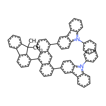 CC1(C)c2ccccc2-c2cccc(-c3c4cccc(-c5ccc6c(c5)c5ccccc5n6-c5ccccc5)c4cc4c(-c5ccc6c(c5)c5ccccc5n6-c5ccccc5)cccc34)c21